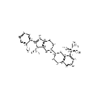 Cn1c(-c2ccccc2Cl)nc2c1CN(C1CCc3cccc(S(C)(=O)=O)c3C1)CC2